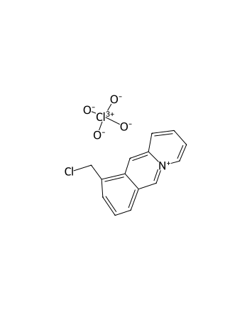 ClCc1cccc2c[n+]3ccccc3cc12.[O-][Cl+3]([O-])([O-])[O-]